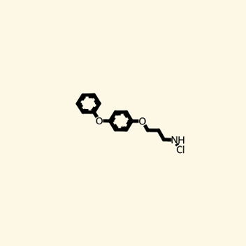 ClNCCCOc1ccc(Oc2ccccc2)cc1